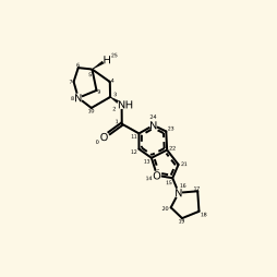 O=C(N[C@@H]1C[C@H]2CCN(C2)C1)c1cc2oc(N3CCCC3)cc2cn1